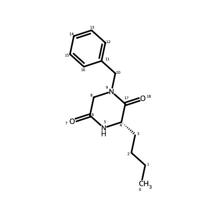 CCCC[C@@H]1NC(=O)CN(Cc2ccccc2)C1=O